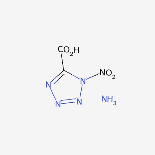 N.O=C(O)c1nnnn1[N+](=O)[O-]